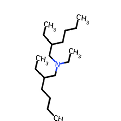 CCCCC(CC)CN(CC)CC(CC)CCCC